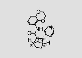 O=C(Nc1cccc2c1OCCO2)[C@H]1[C@H](c2ccncc2)[C@@H]2CC[C@H]1O2